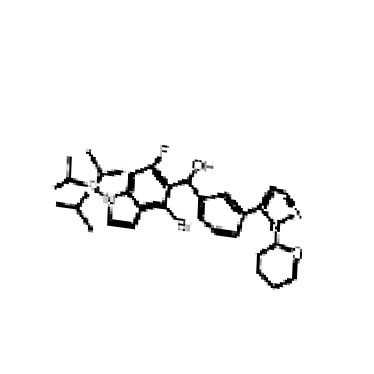 CC(C)[Si](C(C)C)(C(C)C)n1ccc2c(Br)c(C(O)c3cccc(-c4ccnn4C4CCCCO4)c3)c(F)cc21